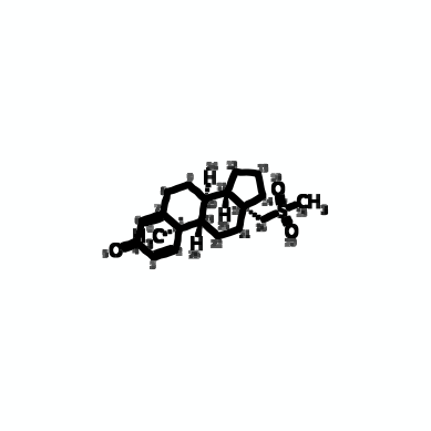 C[C@]12C=CC(=O)C=C1CC[C@H]1[C@@H]3CCC[C@@]3(CS(C)(=O)=O)CC[C@@H]12